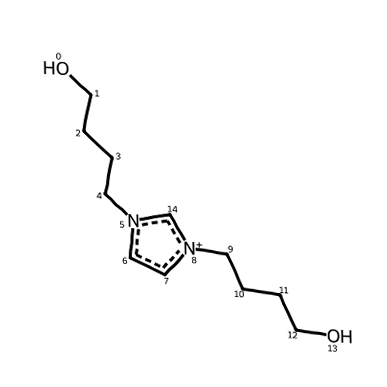 OCCCCn1cc[n+](CCCCO)c1